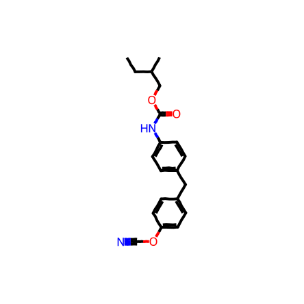 CCC(C)COC(=O)Nc1ccc(Cc2ccc(OC#N)cc2)cc1